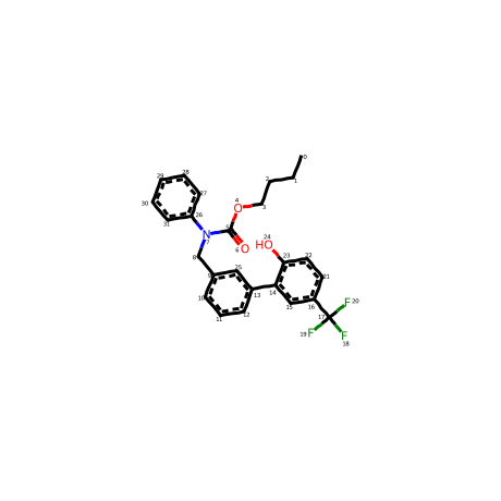 CCCCOC(=O)N(Cc1cccc(-c2cc(C(F)(F)F)ccc2O)c1)c1ccccc1